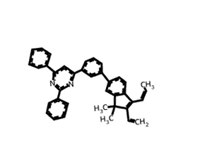 C=CC1=C(/C=C\C)c2ccc(-c3cccc(-c4cc(-c5ccccc5)nc(-c5ccccc5)n4)c3)cc2C1(C)C